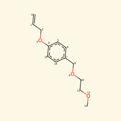 C=CCOc1ccc(COCCOC)cc1